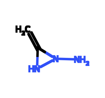 C=C1NN1N